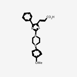 COc1ccc(N2CCN(c3nc(-c4ccccc4)c(C=CC(=O)O)s3)CC2)cc1